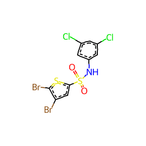 O=S(=O)(Nc1cc(Cl)cc(Cl)c1)c1cc(Br)c(Br)s1